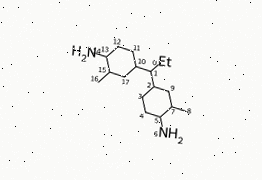 CCC(C1CCC(N)C(C)C1)C1CCC(N)C(C)C1